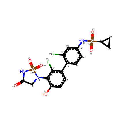 O=C1CN(c2c(O)ccc(-c3ccc(NS(=O)(=O)C4CC4)cc3F)c2F)S(=O)(=O)N1